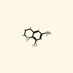 CC(C)(C)c1cc(Cl)c2c(c1)CCCO2